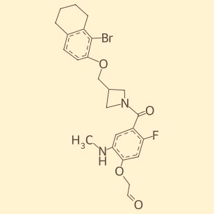 CNc1cc(C(=O)N2CC(COc3ccc4c(c3Br)CCCC4)C2)c(F)cc1OCC=O